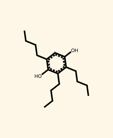 CCCCc1[c]c(O)c(CCCC)c(CCCC)c1O